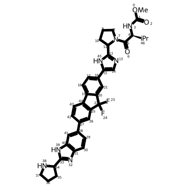 COC(=O)N[C@H](C(=O)N1CCCC1c1ncc(-c2ccc3c(c2)C(F)(F)c2cc(-c4ccc5nc(C6CCCN6)[nH]c5c4)ccc2-3)[nH]1)C(C)C